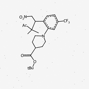 CC(=O)C(C)(C)C(C[N+](=O)[O-])c1ccc(C(F)(F)F)cc1N1CCC(C(=O)OC(C)(C)C)CC1